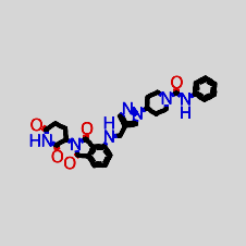 O=C1CCC(N2C(=O)c3cccc(NCc4cnn(C5CCN(C(=O)Nc6ccccc6)CC5)c4)c3C2=O)C(=O)N1